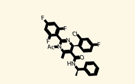 CC(=O)N1C(c2c(F)cc(F)cc2F)=N[C@@H](c2ccc(F)cc2Cl)C(C(=O)N[C@H](C)c2ccccc2)=C1C